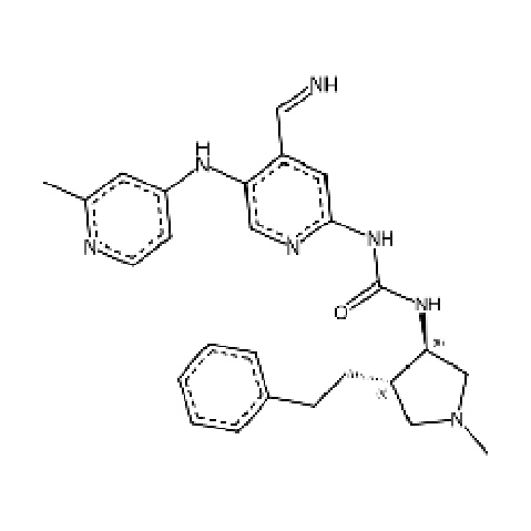 Cc1cc(Nc2cnc(NC(=O)N[C@H]3CN(C)C[C@@H]3CCc3ccccc3)cc2C=N)ccn1